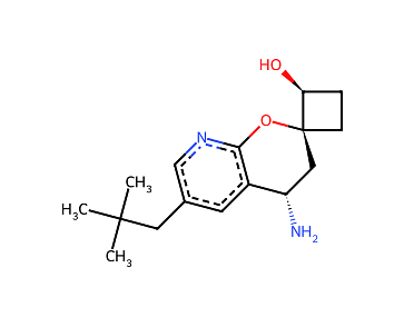 CC(C)(C)Cc1cnc2c(c1)[C@@H](N)C[C@@]1(CC[C@@H]1O)O2